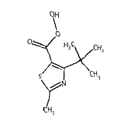 Cc1nc(C(C)(C)C)c(C(=O)OO)s1